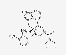 CCN(CC)C(=O)[C@@H]1C=C2c3cccc4[nH]cc(c34)C[C@H]2N(C)C1.Nc1ccccc1N